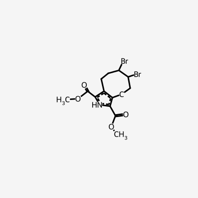 COC(=O)c1[nH]c(C(=O)OC)c2c1CCC(Br)C(Br)CC2